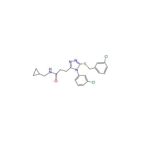 O=C(CCc1nnc(SCc2cccc(Cl)c2)n1-c1cccc(Cl)c1)NCC1CC1